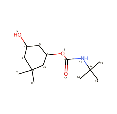 CC1(C)CC(O)CC(OC(=O)NC(C)(C)C)C1